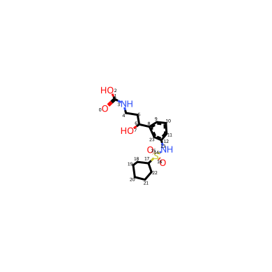 O=C(O)NCCC(O)c1cccc(NS(=O)(=O)C2CCCCC2)c1